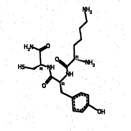 NCCCC[C@H](N)C(=O)N[C@@H](Cc1ccc(O)cc1)C(=O)N[C@@H](CS)C(N)=O